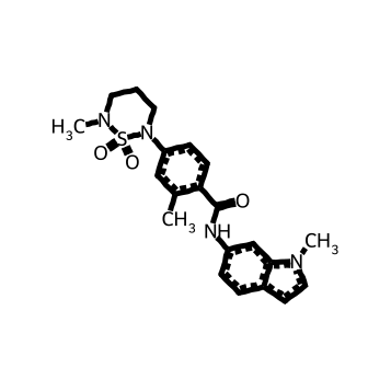 Cc1cc(N2CCCN(C)S2(=O)=O)ccc1C(=O)Nc1ccc2ccn(C)c2c1